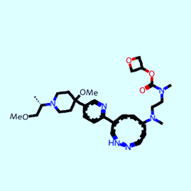 COC[C@H](C)N1CCC(OC)(c2ccc(-c3ccc(N(C)CCN(C)C(=O)OC4COC4)ccn[nH]c3)nc2)CC1